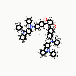 Cc1ccccc1N(c1ccc2cc3c(cc2c1)oc1ccc2oc4cc5cc(N(c6ccc7c8ccccc8n(-c8ccccc8)c7c6)c6ccccc6C)ccc5cc4c2c13)c1ccc2c3ccccc3n(-c3ccccc3)c2c1